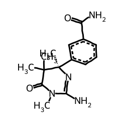 CN1C(=O)C(C)(C)[C@@](C)(c2cccc(C(N)=O)c2)N=C1N